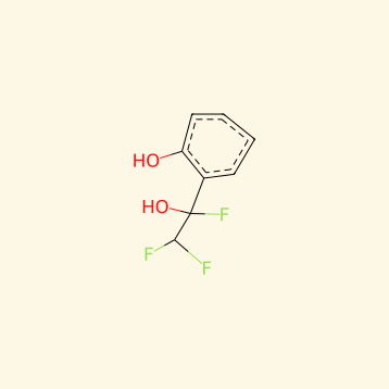 Oc1ccccc1C(O)(F)C(F)F